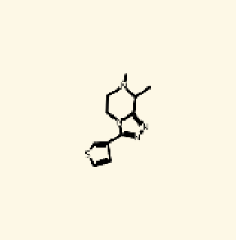 CC1c2nnc(-c3ccsc3)n2CCN1C